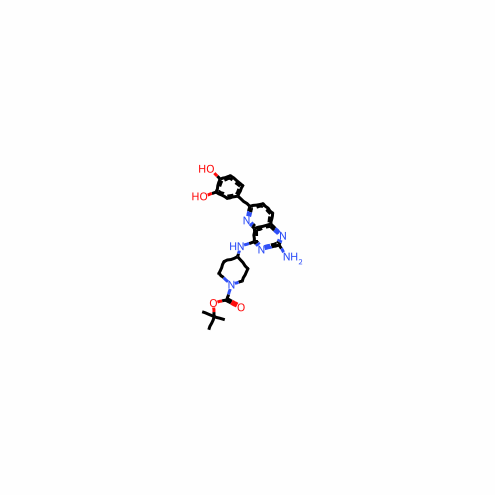 CC(C)(C)OC(=O)N1CCC(Nc2nc(N)nc3ccc(-c4ccc(O)c(O)c4)nc23)CC1